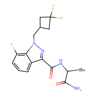 CC(C)(C)C(NC(=O)c1nn(CC2CC(F)(F)C2)c2c(F)cccc12)C(N)=O